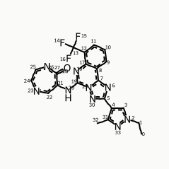 CCn1cc(-c2nc3c4cccc(C(F)(F)F)c4nc(Nc4cnccnc4=O)n3n2)c(C)n1